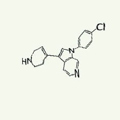 Clc1ccc(-n2cc(C3=CCNCC3)c3ccncc32)cc1